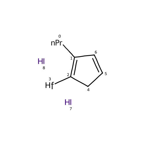 CCCC1=[C]([Hf])CC=C1.I.I